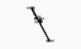 O=C(O)CCCCCCCCCCCCCCCCC(=O)N[C@@H](CCC(=O)NCCOCCOCC(=O)O)C(=O)O